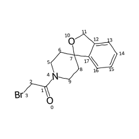 O=C(CBr)N1CCC2(CC1)OCc1ccccc12